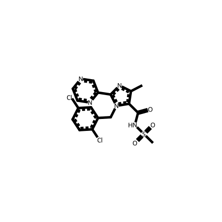 Cc1nc(-c2cnccn2)n(Cc2cc(Cl)ccc2Cl)c1C(=O)NS(C)(=O)=O